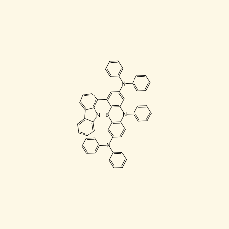 c1ccc(N(c2ccccc2)c2ccc3c(c2)B2c4c(cc(N(c5ccccc5)c5ccccc5)cc4N3c3ccccc3)-c3cccc4c5ccccc5n2c34)cc1